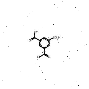 CCC(=O)c1cc(C(=O)C(C)C)cc(S(=O)(=O)O)c1